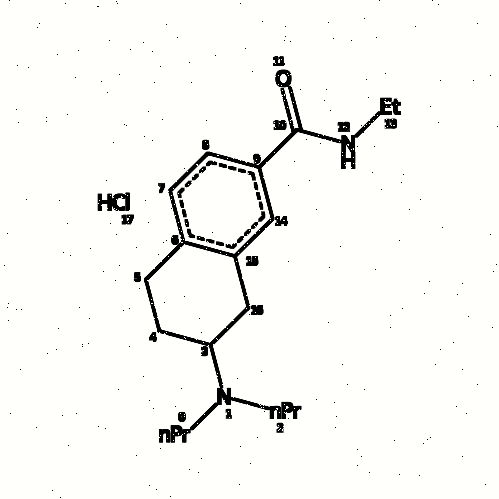 CCCN(CCC)C1CCc2ccc(C(=O)NCC)cc2C1.Cl